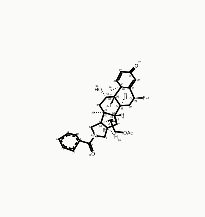 CC(=O)OCC(=O)[C@@]12CN(C(=O)c3ccccc3)C[C@@H]1C[C@H]1[C@@H]3C[C@H](F)C4=CC(=O)C=C[C@]4(C)[C@@]3(F)[C@@H](O)C[C@@]12C